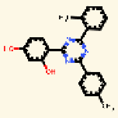 Cc1ccc(-c2nc(-c3ccccc3C)nc(-c3ccc(O)cc3O)n2)cc1